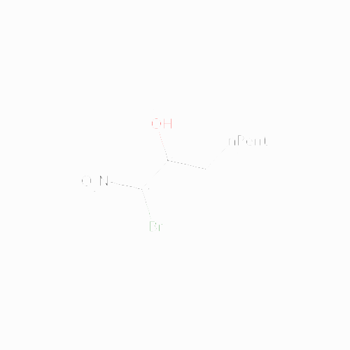 CCCCCCC(O)C(Br)[N+](=O)[O-]